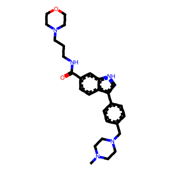 CN1CCN(Cc2ccc(-c3c[nH]c4cc(C(=O)NCCCN5CCOCC5)ccc34)cc2)CC1